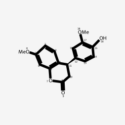 COc1ccc2c(c1)OC(=O)C[C@@H]2c1ccc(O)c(OC)c1